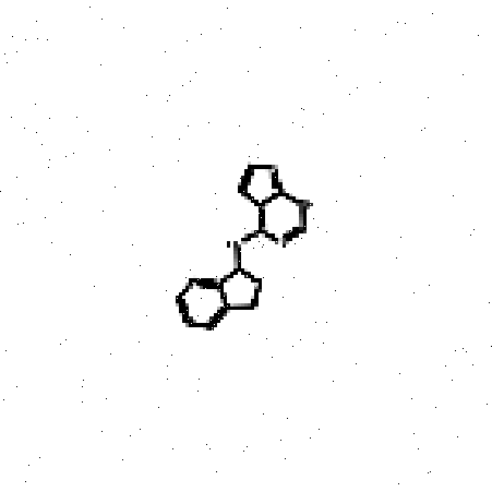 c1ccc2c(c1)CCC2Nc1nc[nH]c2nccc1-2